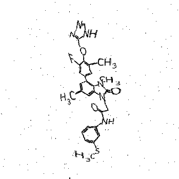 CSc1cccc(NC(=O)Cn2c(=O)n(C)c3c(-c4cc(C)c(OCc5nnc[nH]5)c(F)c4)cc(C)cc32)c1